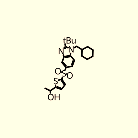 CC(O)c1ccc(S(=O)(=O)c2ccc3c(c2)nc(C(C)(C)C)n3CC2CCCCC2)s1